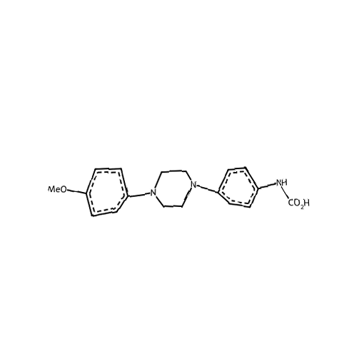 COc1ccc(N2CCN(c3ccc(NC(=O)O)cc3)CC2)cc1